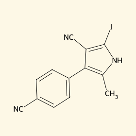 Cc1[nH]c(I)c(C#N)c1-c1ccc(C#N)cc1